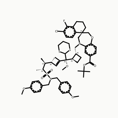 COc1ccc(CN(Cc2ccc(OC)cc2)S(=O)(=O)[C@H](C)[C@@H](C)[C@H]2C=C([C@@](OC)(C3SCCCS3)[C@@H]3CC[C@H]3CN3C[C@@]4(CCCc5c4ccc(Cl)c5F)COc4ccc(C(=O)OC(C)(C)C)cc43)C2)cc1